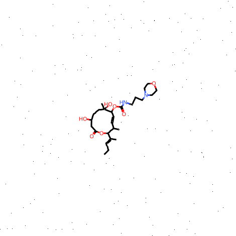 CC/C=C(\C)C1OC(=O)CC(O)CCC(C)(O)C(OC(=O)NCCCN2CCOCC2)/C=C/C1C